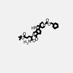 CC(C)(C)OC(=O)CCC(C(N)=O)N1Cc2c(ccc3c2NCC32CCN(C(=O)OCc3ccccc3)CC2)C1=O